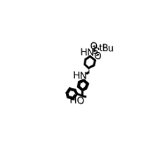 CC(O)(c1ccccc1)c1ccc(NC[C@H]2CC[C@H](NS(=O)(=O)C(C)(C)C)CC2)cc1